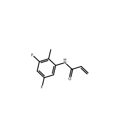 C=CC(=O)Nc1cc(F)cc(F)c1C